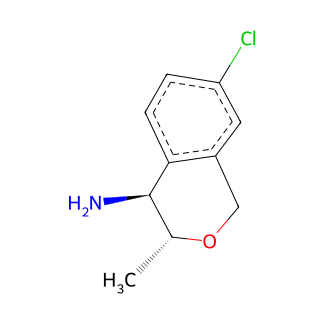 C[C@H]1OCc2cc(Cl)ccc2[C@@H]1N